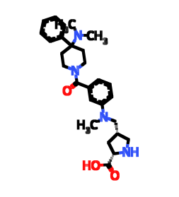 CN(C[C@@H]1CN[C@H](C(=O)O)C1)c1cccc(C(=O)N2CCC(c3ccccc3)(N(C)C)CC2)c1